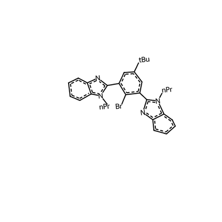 CCCn1c(-c2cc(C(C)(C)C)cc(-c3nc4ccccc4n3CCC)c2Br)nc2ccccc21